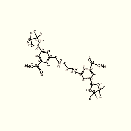 COC(=O)c1cc(B2OC(C)(C)C(C)(C)O2)cc(CNCCNCc2cc(B3OC(C)(C)C(C)(C)O3)cc(C(=O)OC)n2)n1